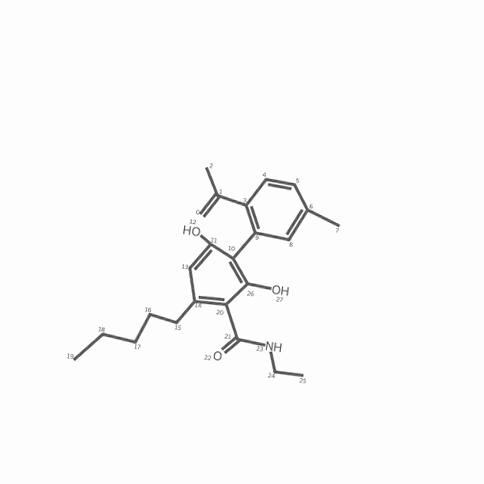 C=C(C)c1ccc(C)cc1-c1c(O)cc(CCCCC)c(C(=O)NCC)c1O